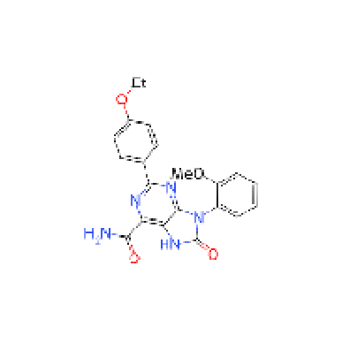 CCOc1ccc(-c2nc(C(N)=O)c3[nH]c(=O)n(-c4ccccc4OC)c3n2)cc1